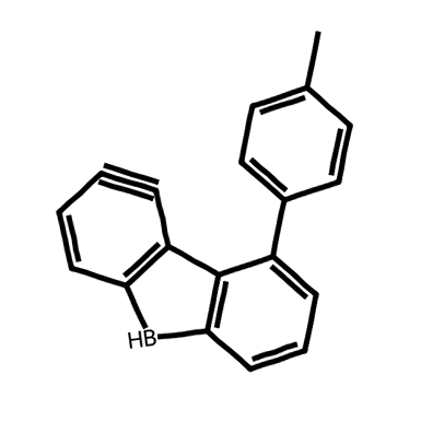 Cc1ccc(-c2cccc3c2-c2c#cccc2B3)cc1